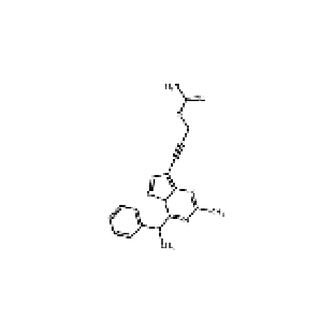 Cc1nc(N(C)c2ccccc2)n2ncc(C#CCOC(N)=O)c2n1